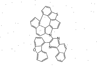 c1ccc2c(c1)ccc1nc(-n3c4ccc5cccc6c5c4c4c5c(ccc43)sc3cccc-6c35)c(-c3cccc4oc5ccccc5c34)nc12